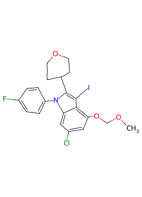 COCOc1cc(Cl)cc2c1c(I)c(C1CCOCC1)n2-c1ccc(F)cc1